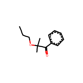 CCCOC(C)(C)C(=O)c1ccccc1